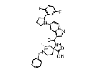 C[C@@H]1CC(NC(=O)c2cnn3ccc(N4CCCC4c4cc(F)ccc4F)cc23)(C(=O)O)CCN1Cc1ccccc1